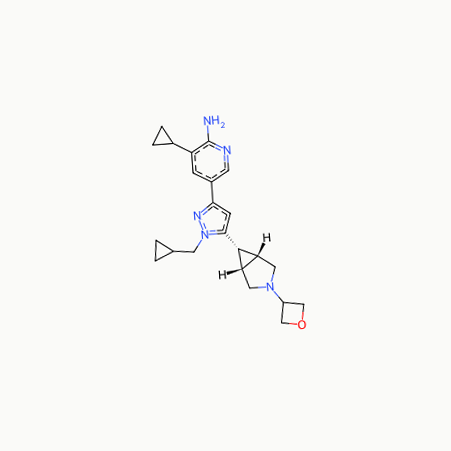 Nc1ncc(-c2cc([C@@H]3[C@@H]4CN(C5COC5)C[C@@H]43)n(CC3CC3)n2)cc1C1CC1